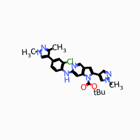 Cc1nn(C)cc1-c1ccc(Nc2cc3c(cn2)cc(-c2cnn(C)c2)n3C(=O)OC(C)(C)C)c(Cl)c1